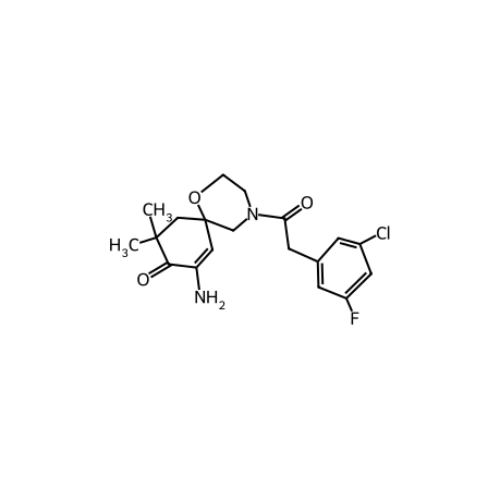 CC1(C)CC2(C=C(N)C1=O)CN(C(=O)Cc1cc(F)cc(Cl)c1)CCO2